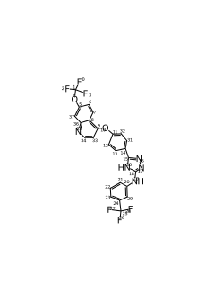 FC(F)(F)Oc1ccc2c(Oc3ccc(-c4nnc(Nc5cccc(C(F)(F)F)c5)[nH]4)cc3)ccnc2c1